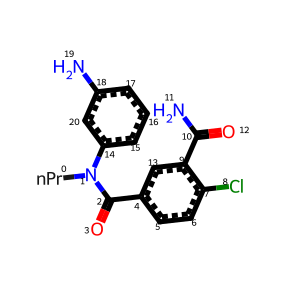 CCCN(C(=O)c1ccc(Cl)c(C(N)=O)c1)c1cccc(N)c1